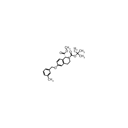 COC(=O)[C@H]1c2ccc(OCc3cccc(C)c3)cc2CCN1C(=O)OC(C)(C)C